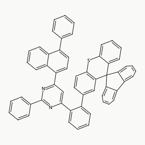 c1ccc(-c2nc(-c3ccccc3-c3ccc4c(c3)C3(c5ccccc5S4)c4ccccc4-c4ccccc43)cc(-c3ccc(-c4ccccc4)c4ccccc34)n2)cc1